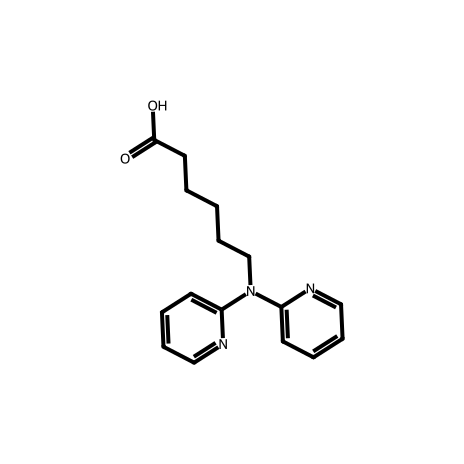 O=C(O)CCCCCN(c1ccccn1)c1ccccn1